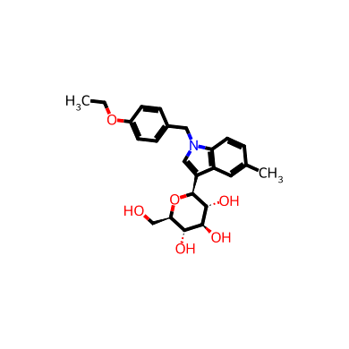 CCOc1ccc(Cn2cc([C@@H]3O[C@H](CO)[C@@H](O)[C@H](O)[C@H]3O)c3cc(C)ccc32)cc1